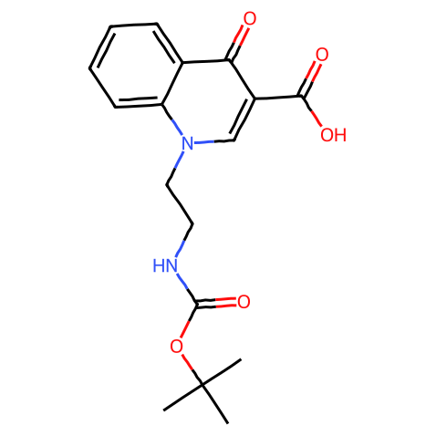 CC(C)(C)OC(=O)NCCn1cc(C(=O)O)c(=O)c2ccccc21